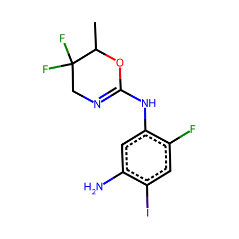 CC1OC(Nc2cc(N)c(I)cc2F)=NCC1(F)F